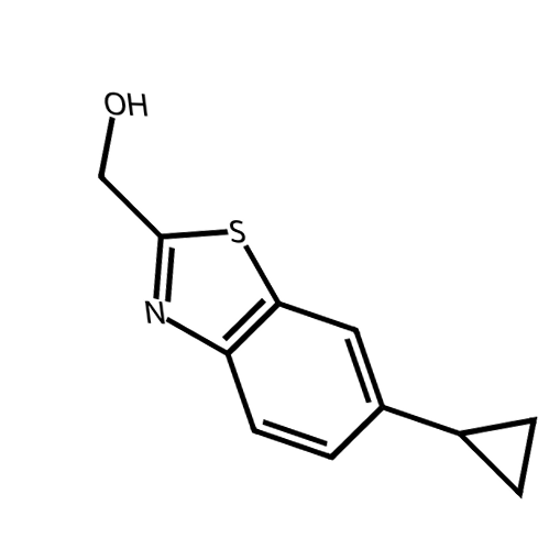 OCc1nc2ccc(C3CC3)cc2s1